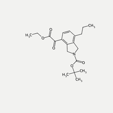 CCCc1ccc(C(=O)C(=O)OCC)c2c1CN(C(=O)OC(C)(C)C)C2